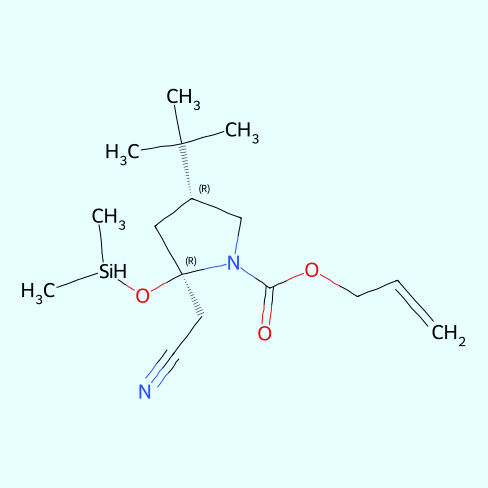 C=CCOC(=O)N1C[C@@H](C(C)(C)C)C[C@]1(CC#N)O[SiH](C)C